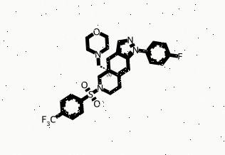 O=S(=O)(c1ccc(C(F)(F)F)cc1)N1CCC2=Cc3c(cnn3-c3ccc(F)cc3)C[C@]2(CN2CCOCC2)C1